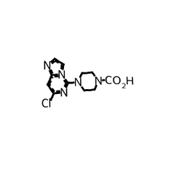 O=C(O)N1CCN(c2nc(Cl)cc3nccn23)CC1